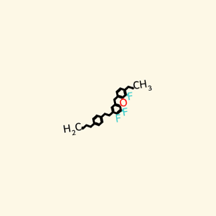 C=CCCc1ccc(CCc2cc3c(c(F)c2F)Oc2c(ccc(CCC)c2F)C3)cc1